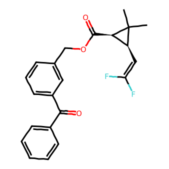 CC1(C)[C@H](C(=O)OCc2cccc(C(=O)c3ccccc3)c2)[C@@H]1C=C(F)F